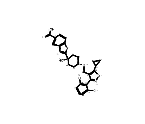 O=C(O)c1ccc2sc([C@]3(O)CC[C@H](OCc4c(-c5c(Cl)cccc5Cl)noc4C4CC4)CC3)nc2c1